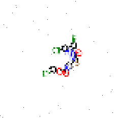 O=C(Nc1ccc(F)cc1-c1ccc(Cl)cc1)c1csc(C2CCN(C(=O)COc3cccc(Cl)c3)CC2)n1